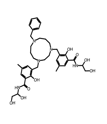 Cc1cc(CN2CCCN(Cc3ccccc3)CCCN(Cc3cc(C)cc(C(=O)NC(O)CO)c3O)CC2)c(O)c(C(=O)NC(O)CO)c1